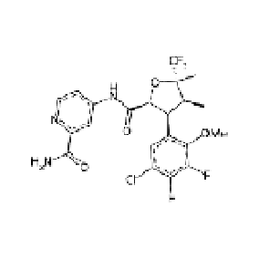 COc1c([C@H]2[C@@H](C(=O)Nc3ccnc(C(N)=O)c3)O[C@](C)(C(F)(F)F)[C@H]2C)cc(Cl)c(F)c1F